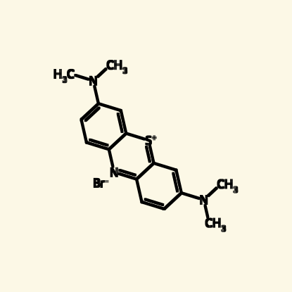 CN(C)c1ccc2nc3ccc(N(C)C)cc3[s+]c2c1.[Br-]